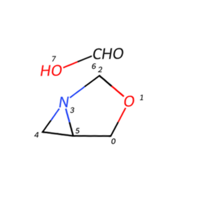 C1OCN2CC12.O=CO